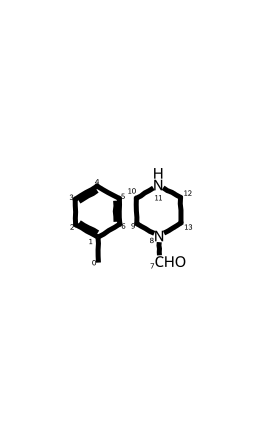 Cc1ccccc1.O=CN1CCNCC1